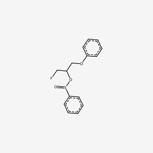 O=S(OC(CF)COc1ccccc1)c1ccccc1